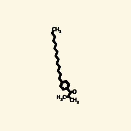 CCCCCCCCCCCCCCc1ccc(C(=O)C(C)C)cc1